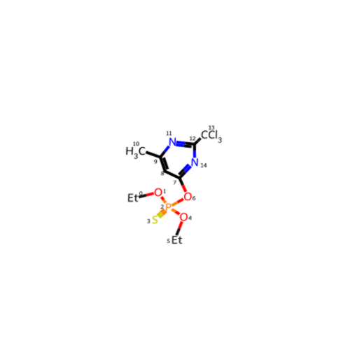 CCOP(=S)(OCC)Oc1cc(C)nc(C(Cl)(Cl)Cl)n1